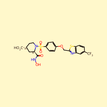 O=C(O)[C@@H]1CCN(S(=O)(=O)c2ccc(OCc3nc4cc(C(F)(F)F)ccc4s3)cc2)[C@@H](C(=O)NO)C1